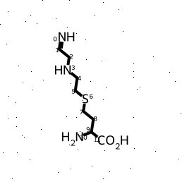 N=CCNCCSCCC(N)C(=O)O